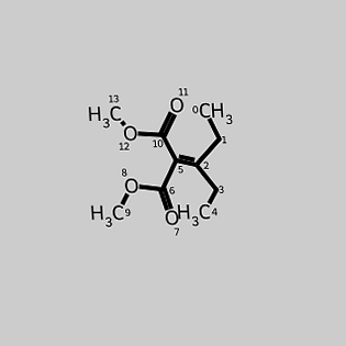 CCC(CC)=C(C(=O)OC)C(=O)OC